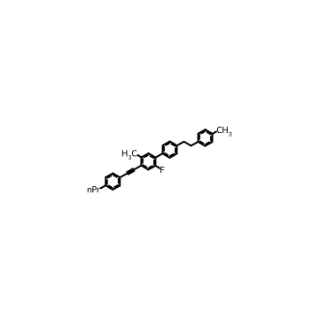 CCCc1ccc(C#Cc2cc(F)c(-c3ccc(CCc4ccc(C)cc4)cc3)cc2C)cc1